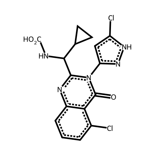 O=C(O)NC(c1nc2cccc(Cl)c2c(=O)n1-c1cc(Cl)[nH]n1)C1CC1